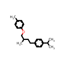 Cc1ccc(OCC(C)CCc2ccc(C(C)C)cc2)cc1